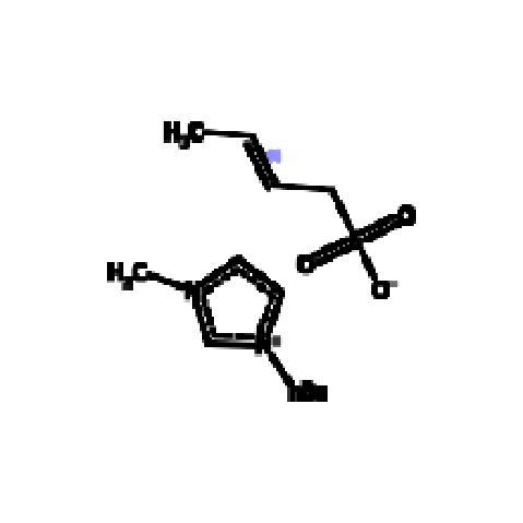 C/C=C/CS(=O)(=O)[O-].CCCC[n+]1ccn(C)c1